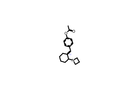 CC(=O)Oc1ccc(/C=C2\CCCCC2N2CCC2)cc1